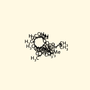 CC[C@H]1OC(=O)[C@H](C)[C@@H](O[C@H]2C[C@@](C)(OC)[C@@H](OC(=O)CCN(C)C)[C@H](C)O2)[C@H](C)[C@@H](O[C@@H]2O[C@H](C)C[C@H](N(C)C)[C@H]2OC)[C@@](C)(OC)C[C@@H](C)C(=O)[C@H](C)[C@@H](O)[C@]1(C)O